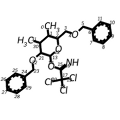 CC1C(COCc2ccccc2)OC(OC(=N)C(Cl)(Cl)Cl)C(OCc2ccccc2)C1C